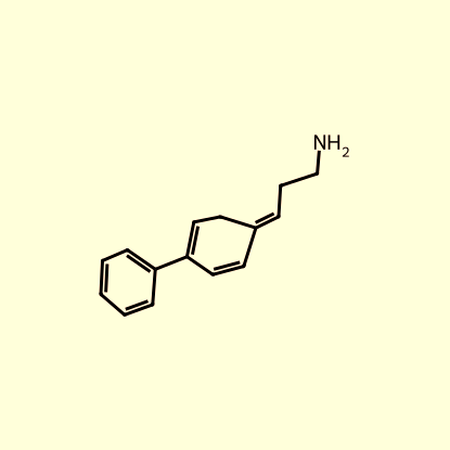 NCC/C=C1/C=CC(c2ccccc2)=CC1